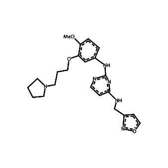 COc1ccc(Nc2nccc(NCc3ccon3)n2)cc1OCCCN1CCCC1